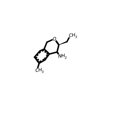 CC[C@@H]1OCc2ccc(C)cc2C1N